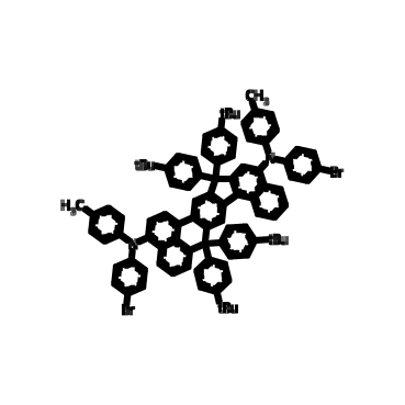 Cc1ccc(N(c2ccc(Br)cc2)c2cc3c(c4ccccc24)-c2cc4c(cc2C3(c2ccc(C(C)(C)C)cc2)c2ccc(C(C)(C)C)cc2)-c2ccc(N(c3ccc(C)cc3)c3ccc(Br)cc3)c3cccc(c23)C4(c2ccc(C(C)(C)C)cc2)c2ccc(C(C)(C)C)cc2)cc1